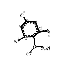 OB(O)c1c(Br)cc(Br)cc1Br